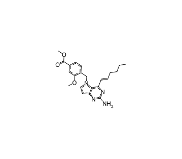 CCCCC=Cc1nc(N)nc2ccn(Cc3ccc(C(=O)OC)cc3OC)c12